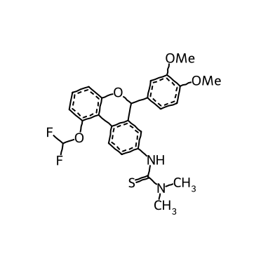 COc1ccc(C2Oc3cccc(OC(F)F)c3-c3ccc(NC(=S)N(C)C)cc32)cc1OC